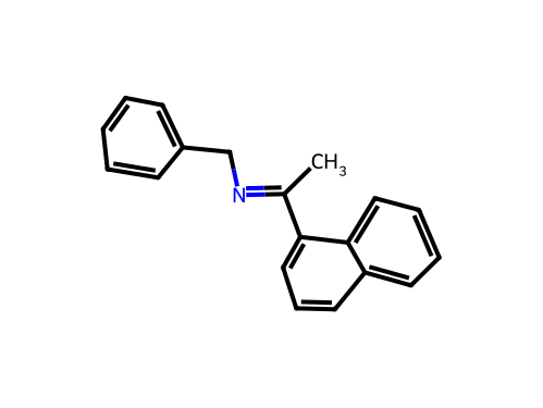 C/C(=N\Cc1ccccc1)c1cccc2ccccc12